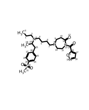 CCCN(CCCCN1CCC(=O)N(C(=O)c2ccno2)CC1)C(C)Cc1ccc(S(C)(=O)=O)cc1